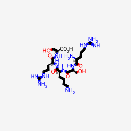 N=C(N)NCCC[C@H](NC(=O)[C@H](CCCCN)NC(=O)[C@H](CO)NC(=O)[C@@H](N)CCCNC(=N)N)C(=O)N[C@@H](CO)C(=O)O